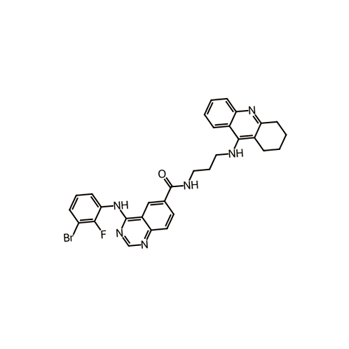 O=C(NCCCNc1c2c(nc3ccccc13)CCCC2)c1ccc2ncnc(Nc3cccc(Br)c3F)c2c1